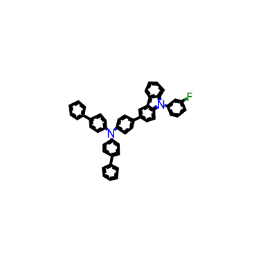 Fc1cccc(-n2c3ccccc3c3cc(-c4ccc(N(c5ccc(-c6ccccc6)cc5)c5ccc(-c6ccccc6)cc5)cc4)ccc32)c1